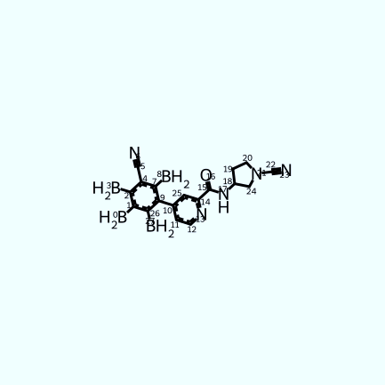 Bc1c(B)c(C#N)c(B)c(-c2ccnc(C(=O)NC3CCN(C#N)C3)c2)c1B